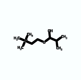 CC(C)C(O)OCC[N+](C)(C)C